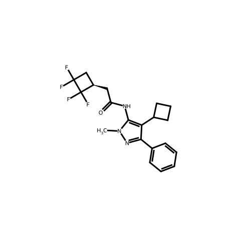 Cn1nc(-c2ccccc2)c(C2CCC2)c1NC(=O)C[C@@H]1CC(F)(F)C1(F)F